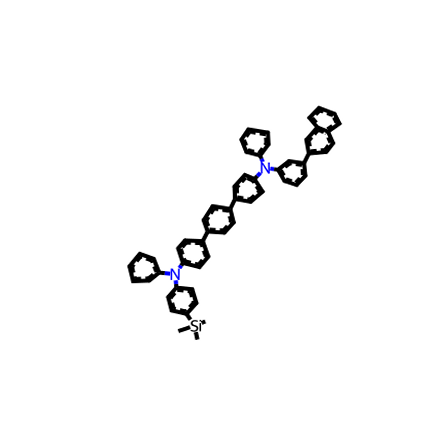 C[Si](C)(C)c1ccc(N(c2ccccc2)c2ccc(-c3ccc(-c4ccc(N(c5ccccc5)c5cccc(-c6ccc7ccccc7c6)c5)cc4)cc3)cc2)cc1